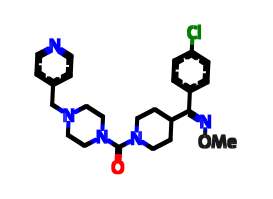 CON=C(c1ccc(Cl)cc1)C1CCN(C(=O)N2CCN(Cc3ccncc3)CC2)CC1